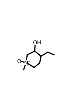 CCC1CC[N+](C)([O-])CC1O